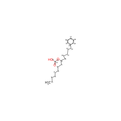 CCCCCCCCC(CCCCCc1ccccc1)OC(=O)O